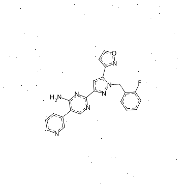 Nc1nc(-c2cc(-c3ccon3)n(Cc3ccccc3F)n2)ncc1-c1cccnc1